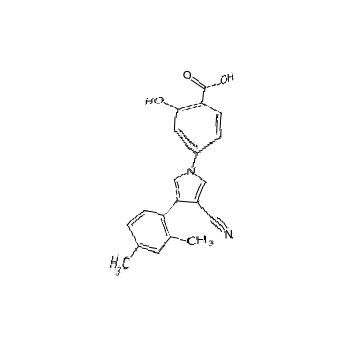 Cc1ccc(-c2cn(-c3ccc(C(=O)O)c(O)c3)cc2C#N)c(C)c1